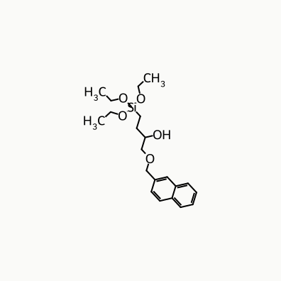 CCO[Si](CCC(O)COCc1ccc2ccccc2c1)(OCC)OCC